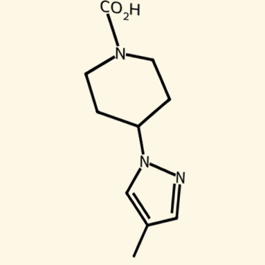 Cc1cnn(C2CCN(C(=O)O)CC2)c1